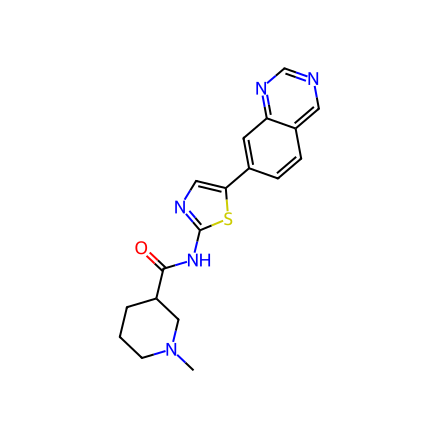 CN1CCCC(C(=O)Nc2ncc(-c3ccc4cncnc4c3)s2)C1